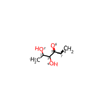 [CH2]C(O)C(O)C(=O)C=C